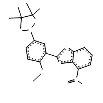 COc1ccc(B2OC(C)(C)C(C)(C)O2)cc1-c1nc2c([N+](=O)[O-])cccc2o1